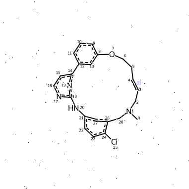 CN1C/C=C/CCOc2cccc(c2)-c2ccnc(n2)Nc2ccc(Cl)c(c2)C1